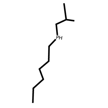 CCCCCCPCC(C)C